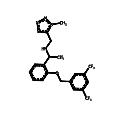 CC(NCc1nnnn1C)c1ccccc1OCc1cc(C(F)(F)F)cc(C(F)(F)F)c1